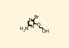 Nc1cnc(Br)c(OCCO)n1